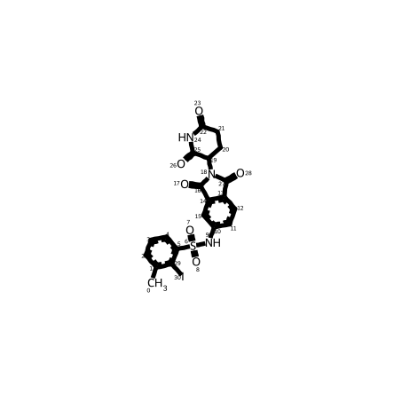 Cc1cccc(S(=O)(=O)Nc2ccc3c(c2)C(=O)N(C2CCC(=O)NC2=O)C3=O)c1I